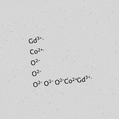 [Co+2].[Co+2].[Gd+3].[Gd+3].[O-2].[O-2].[O-2].[O-2].[O-2]